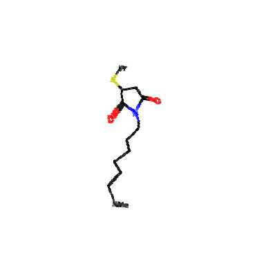 CNCCCCCCN1C(=O)CC(SC(C)C)C1=O